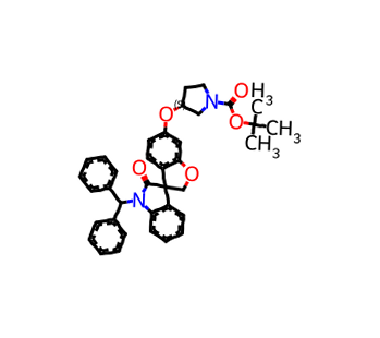 CC(C)(C)OC(=O)N1CC[C@H](Oc2ccc3c(c2)OCC32C(=O)N(C(c3ccccc3)c3ccccc3)c3ccccc32)C1